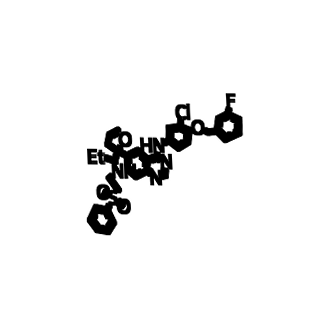 CCC(NCCS(=O)(=O)c1ccccc1)C1(c2ccc3ncnc(Nc4ccc(OCc5cccc(F)c5)c(Cl)c4)c3c2)CC=CO1